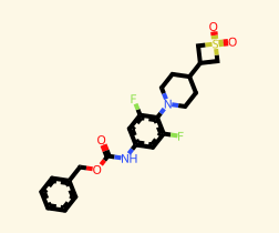 O=C(Nc1cc(F)c(N2CCC(C3CS(=O)(=O)C3)CC2)c(F)c1)OCc1ccccc1